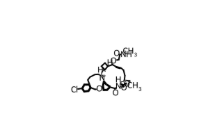 CC[C@@H]1CC/C=C/[C@H](OCC(=O)NC)[C@@H]2CC[C@H]2CN2CCCCc3cc(Cl)ccc3COc3ccc(cc32)C(=O)NS1(=O)=O